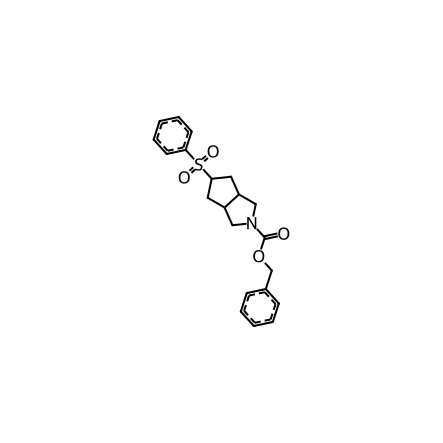 O=C(OCc1ccccc1)N1CC2CC(S(=O)(=O)c3ccccc3)CC2C1